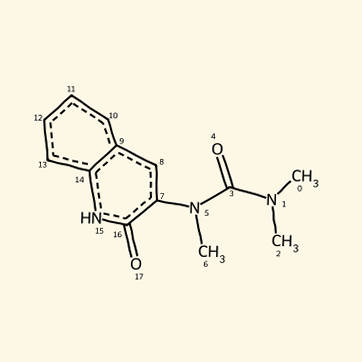 CN(C)C(=O)N(C)c1cc2ccccc2[nH]c1=O